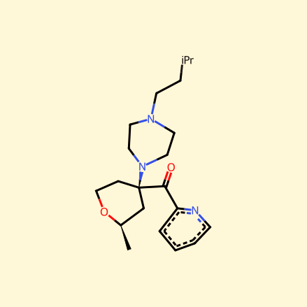 CC(C)CCN1CCN([C@]2(C(=O)c3ccccn3)CCO[C@H](C)C2)CC1